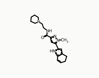 Cn1nc(C(=O)NCCN2CCCCC2)cc1-c1cc2c([nH]1)C=CCC2